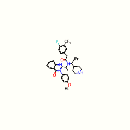 CCOc1ccc(-n2c(C(C)N(C(=O)Cc3ccc(F)c(C(F)(F)F)c3)C(C(C)C)C3CCNCC3)nc3ccccc3c2=O)cc1